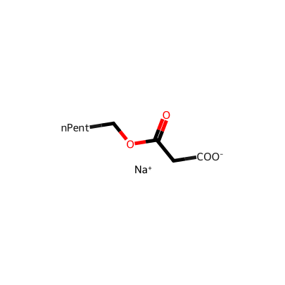 CCCCCCOC(=O)CC(=O)[O-].[Na+]